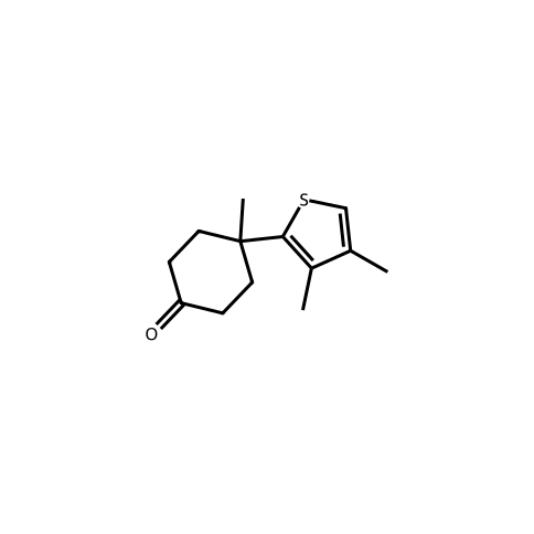 Cc1csc(C2(C)CCC(=O)CC2)c1C